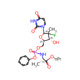 CCCOC(=O)[C@H](C)NP(=O)(OC[C@H]1OC(n2ccc(=O)[nH]c2=O)[C@](C)(F)[C@@H]1O)Oc1ccccc1